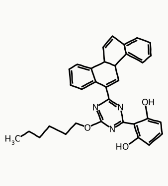 CCCCCCOc1nc(C2=CC3c4ccccc4C=CC3c3ccccc32)nc(-c2c(O)cccc2O)n1